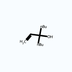 C=CC(O)(CCCC)CCCC